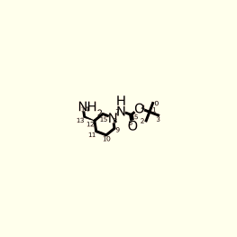 CC(C)(C)OC(=O)NN1CCC[C@@H](CN)C1